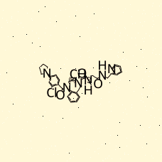 C[C@@H]1CN(C(=O)c2ccc(N3CCCC3)cc2Cl)c2ccccc2CN1C(=O)NCC(=O)NCc1ccccn1